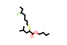 CCCCOC(=O)C(CC(C)C)SCCCCC(F)CC